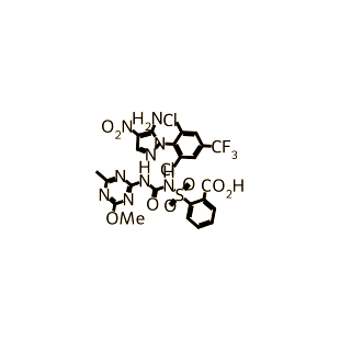 COc1nc(C)nc(NC(=O)NS(=O)(=O)c2ccccc2C(=O)O)n1.Nc1c([N+](=O)[O-])cnn1-c1c(Cl)cc(C(F)(F)F)cc1Cl